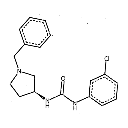 O=C(Nc1cccc(Cl)c1)N[C@H]1CCN(Cc2ccccc2)C1